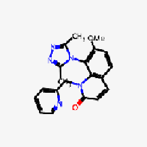 COc1ccc2ccc(=O)n(Cc3ccccn3)c2c1-n1c(C)nnc1C